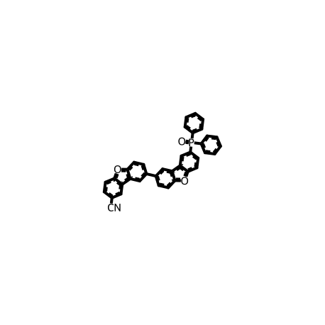 N#Cc1ccc2oc3ccc(-c4ccc5oc6ccc(P(=O)(c7ccccc7)c7ccccc7)cc6c5c4)cc3c2c1